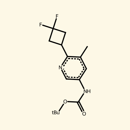 Cc1cc(NC(=O)OC(C)(C)C)cnc1C1CC(F)(F)C1